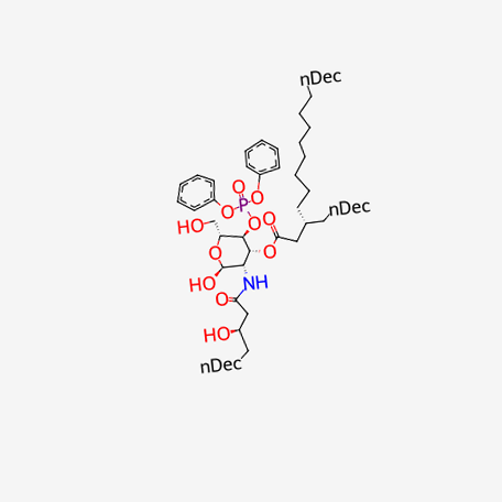 CCCCCCCCCCCCCCCCCC[C@H](CCCCCCCCCCC)CC(=O)O[C@@H]1[C@H](NC(=O)C[C@H](O)CCCCCCCCCCC)[C@@H](O)O[C@H](CO)[C@H]1OP(=O)(Oc1ccccc1)Oc1ccccc1